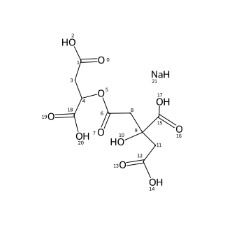 O=C(O)CC(OC(=O)CC(O)(CC(=O)O)C(=O)O)C(=O)O.[NaH]